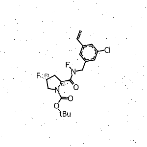 C=Cc1cc(Cl)cc(CN(F)C(=O)[C@@H]2C[C@@H](F)CN2C(=O)OC(C)(C)C)c1